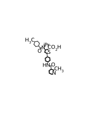 Cc1ncccc1C(=O)Nc1ccc(-c2cc(N(C(=O)C3CCC(C)CC3)C(C)C)c(C(=O)O)s2)cc1